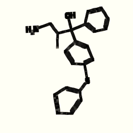 CC(CN)C(O)(c1ccccc1)c1ccc(Sc2ccccc2)cc1